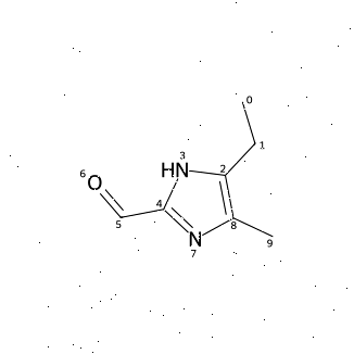 CCc1[nH]c(C=O)nc1C